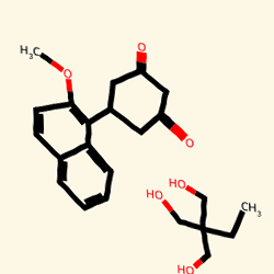 CCC(CO)(CO)CO.COc1ccc2ccccc2c1C1CC(=O)CC(=O)C1